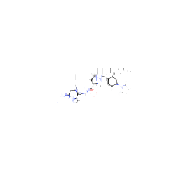 CNc1cc(N2CCCC2)ccc1Cn1cc(C(=O)NCc2c(C)cc(N)nc2C)cc1C=O